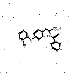 O=C(NC(Cc1ccc(Oc2ccccc2Br)cc1)C(=O)O)c1ccccc1